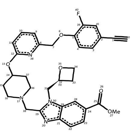 C#Cc1ccc(OCc2cccc(OC3CCN(Cc4nc5ccc(C(=O)OC)cc5n4C[C@@H]4CCO4)CC3)n2)c(F)c1